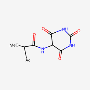 COC(C(C)=O)C(=O)NC1C(=O)NC(=O)NC1=O